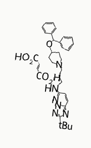 CC(C)(C)c1nc2ccc(NCCCN3CCC(OC(c4ccccc4)c4ccccc4)CC3)nn2n1.O=C(O)C=CC(=O)O